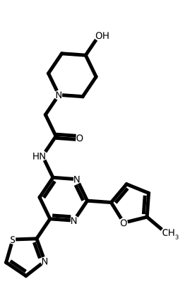 Cc1ccc(-c2nc(NC(=O)CN3CCC(O)CC3)cc(-c3nccs3)n2)o1